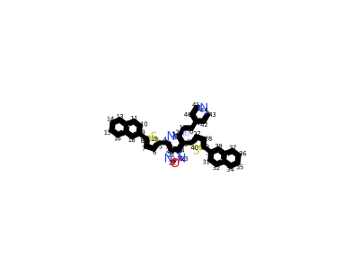 C(=C\c1nc(-c2ccc(-c3ccc4ccccc4c3)s2)c2nonc2c1-c1ccc(-c2ccc3ccccc3c2)s1)/c1ccncc1